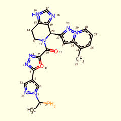 CC(P)n1cc(-c2nnc(C(=O)N3CCc4[nH]cnc4[C@H]3c3cc4c(C(F)(F)F)cccn4n3)o2)cn1